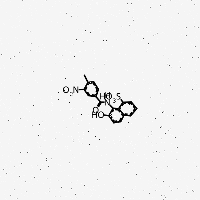 Cc1ccc(C(=O)Nc2c(O)ccc3cccc(S(=O)(=O)O)c23)cc1[N+](=O)[O-]